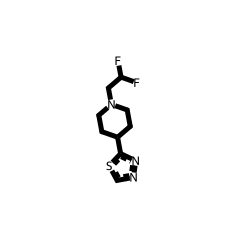 FC(F)CN1CCC(c2nncs2)CC1